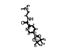 CN(C)CCNC(=O)c1ccc(B2OC(C)(C)C(C)(C)O2)cn1